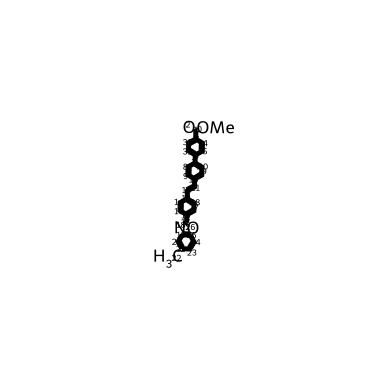 COC(=O)c1ccc(-c2ccc(C=Cc3ccc(-c4nc5cc(C)ccc5o4)cc3)cc2)cc1